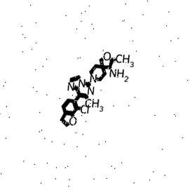 Cc1nc(N2CCC3(CC2)CO[C@@H](C)C3N)n2ccnc2c1-c1ccc2c(c1Cl)OCC2